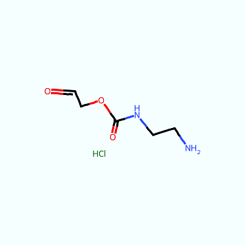 Cl.NCCNC(=O)OCC=O